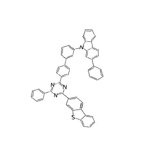 c1ccc(-c2ccc3c4ccccc4n(-c4cccc(-c5ccc(-c6nc(-c7ccccc7)nc(-c7ccc8c(c7)sc7ccccc78)n6)cc5)c4)c3c2)cc1